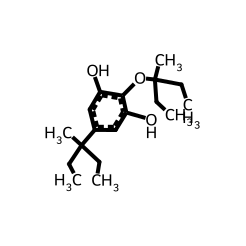 CCC(C)(CC)Oc1c(O)cc(C(C)(CC)CC)cc1O